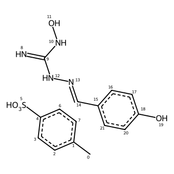 Cc1ccc(S(=O)(=O)O)cc1.N=C(NO)NN=Cc1ccc(O)cc1